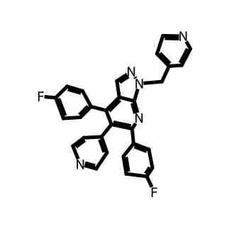 Fc1ccc(-c2nc3c(cnn3Cc3ccncc3)c(-c3ccc(F)cc3)c2-c2ccncc2)cc1